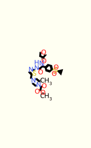 COC(=O)C(=O)N1CCN(Cc2cnc(NC(=O)/C(=N/O[C@@H]3CCOC3)c3ccc(S(=O)(=O)C4CC4)cc3)s2)C[C@@H]1C